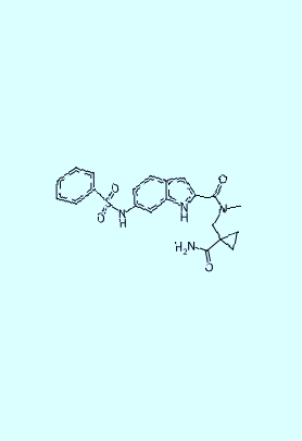 CN(CC1(C(N)=O)CC1)C(=O)c1cc2ccc(NS(=O)(=O)c3ccccc3)cc2[nH]1